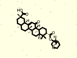 CC1(C)[C@@H](C(=O)O[C@H]2CN3CCC2CC3)CC[C@]2(C)[C@H]3C(=O)C=C4[C@@H]5C[C@@](C)(C(=O)O)CC[C@]5(C)CC[C@@]4(C)[C@]3(C)CC[C@@H]12